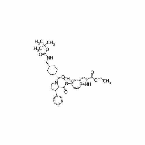 CCOC(=O)c1cc2cc(N(C)C(=O)C3C(c4ccccc4)CCN3C(=O)[C@H]3CC[C@H](CNC(=O)OC(C)(C)C)CC3)ccc2[nH]1